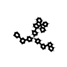 c1ccc(-c2cccc(-c3ccc(N(c4ccc(-c5cccc(-c6cccc7ccccc67)c5)cc4)c4ccc(-c5ccc6c(c5)C(c5ccccc5)(c5ccccc5)c5ccccc5-6)cc4)cc3)c2)cc1